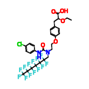 CCOC(Cc1ccc(OCCN(CC(F)(F)C(F)(F)C(F)(F)C(F)(F)C(F)(F)C(F)(F)F)C(=O)Nc2ccc(Cl)cc2)cc1)C(=O)O